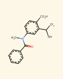 CCCC(c1cc(N(C)C(=O)c2ccccc2)ccc1C(=O)O)C(F)(F)F